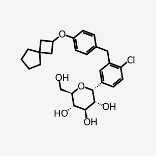 OC[C@H]1O[C@H](c2ccc(Cl)c(Cc3ccc(OC4CC5(CCCC5)C4)cc3)c2)[C@H](O)[C@@H](O)[C@@H]1O